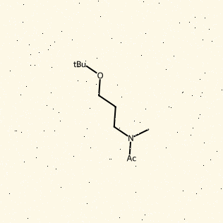 CC(=O)N(C)CCCOC(C)(C)C